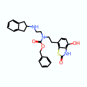 O=C(OCc1ccccc1)N(CCNC1Cc2ccccc2C1)CCc1ccc(O)c2[nH]c(=O)sc12